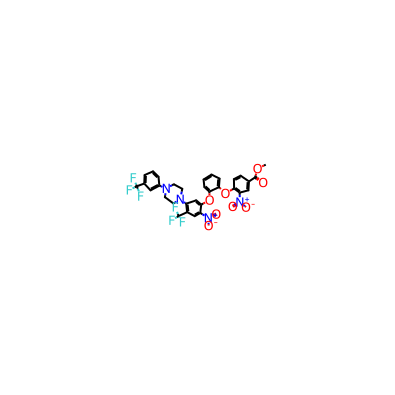 COC(=O)c1ccc(Oc2ccccc2Oc2cc(N3CCN(c4cccc(C(F)(F)F)c4)CC3)c(C(F)(F)F)cc2[N+](=O)[O-])c([N+](=O)[O-])c1